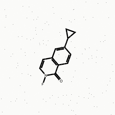 O=c1c2ccc(C3CC3)cc2ccn1F